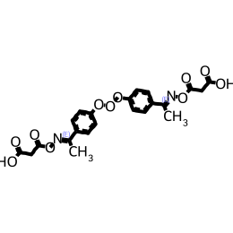 C/C(=N\OC(=O)CC(=O)O)c1ccc(OOOc2ccc(/C(C)=N/OC(=O)CC(=O)O)cc2)cc1